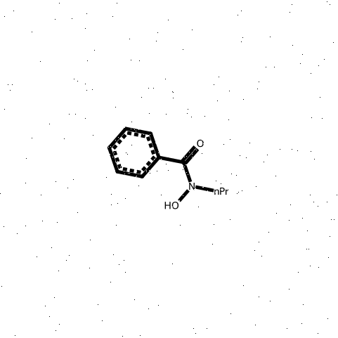 CCCN(O)C(=O)c1ccccc1